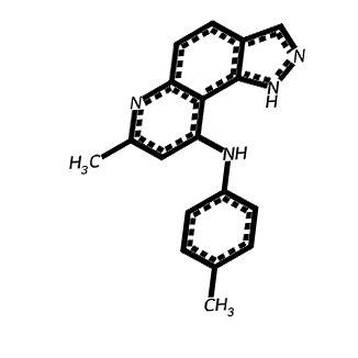 Cc1ccc(Nc2cc(C)nc3ccc4cn[nH]c4c23)cc1